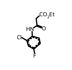 CCOC(=O)CC(=O)Nc1ccc(F)cc1Cl